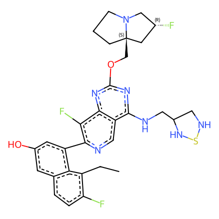 CCc1c(F)ccc2cc(O)cc(-c3ncc4c(NCC5CNSN5)nc(OC[C@@]56CCCN5C[C@H](F)C6)nc4c3F)c12